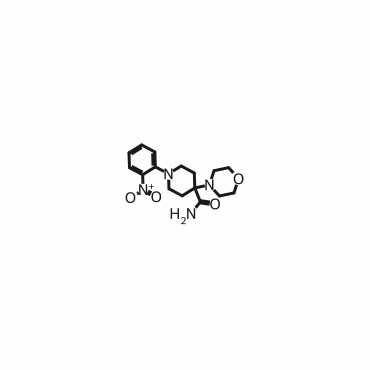 NC(=O)C1(N2CCOCC2)CCN(c2ccccc2[N+](=O)[O-])CC1